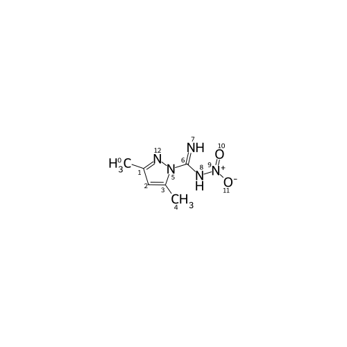 Cc1cc(C)n(C(=N)N[N+](=O)[O-])n1